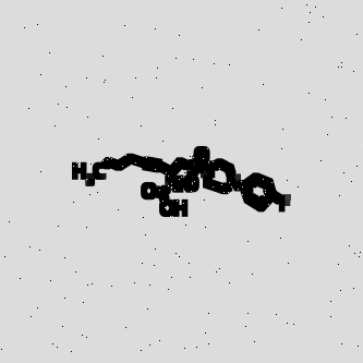 CCCCC#CC(CS(=O)(=O)N1CCN(c2ccc(F)cc2)CC1)NC(=O)O